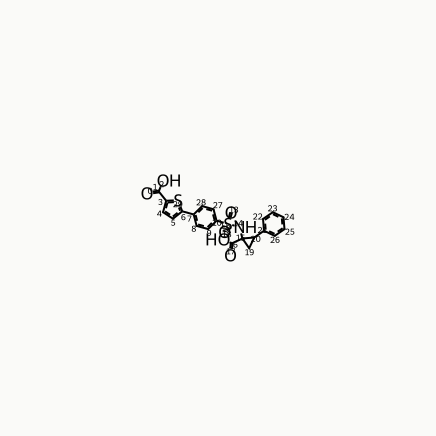 O=C(O)c1ccc(-c2ccc(S(=O)(=O)NC3(C(=O)O)CC3c3ccccc3)cc2)s1